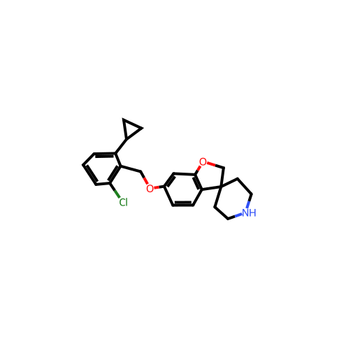 Clc1cccc(C2CC2)c1COc1ccc2c(c1)OCC21CCNCC1